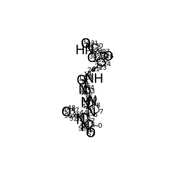 Cc1cc2c(N3CCCc4nc(-c5ccc(C(=O)NCC#Cc6ccc7occ(C8CCC(=O)NC8=O)c7c6)nc5)ncc43)cc(C3CCOCC3)nc2n(C)c1=O